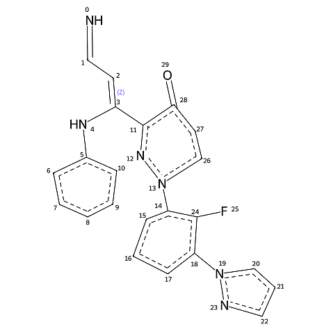 N=C/C=C(\Nc1ccccc1)c1nn(-c2cccc(-n3cccn3)c2F)ccc1=O